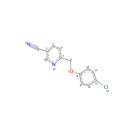 N#Cc1ccc(COc2ccc(Cl)cc2)nc1